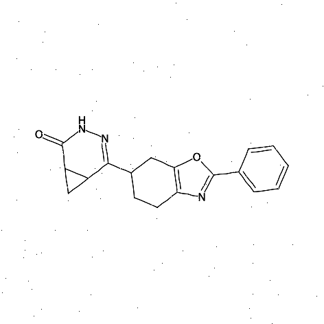 O=C1NN=C(C2CCc3nc(-c4ccccc4)oc3C2)C2CC12